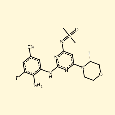 C[C@@H]1COCCN1c1cc(N=S(C)(C)=O)nc(Nc2cc(C#N)cc(F)c2N)n1